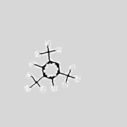 Clc1c(C(Cl)(Cl)Cl)[c]c(C(Cl)(Cl)Cl)c(Cl)c1C(Cl)(Cl)Cl